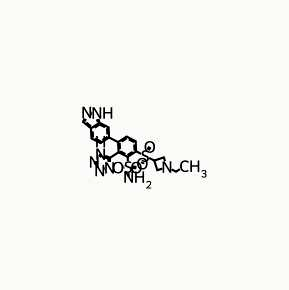 CCN1CC(S(=O)(=O)c2ccc(-c3ccc4cn[nH]c4c3)c(-c3nnn[nH]3)c2S(N)(=O)=O)C1